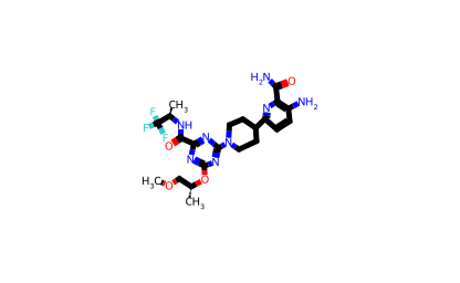 COC[C@@H](C)Oc1nc(C(=O)N[C@@H](C)C(F)(F)F)nc(N2CCC(c3ccc(N)c(C(N)=O)n3)CC2)n1